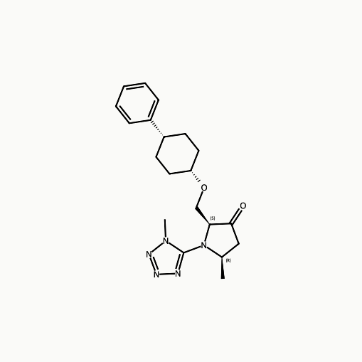 C[C@@H]1CC(=O)[C@H](CO[C@H]2CC[C@@H](c3ccccc3)CC2)N1c1nnnn1C